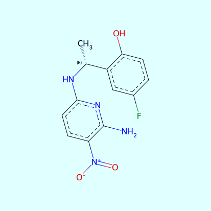 C[C@@H](Nc1ccc([N+](=O)[O-])c(N)n1)c1cc(F)ccc1O